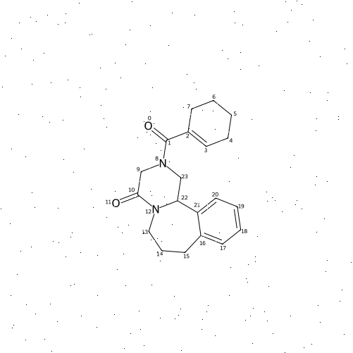 O=C(C1=CCCCC1)N1CC(=O)N2CCCc3ccccc3C2C1